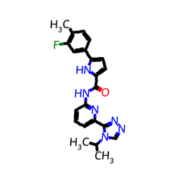 Cc1ccc(-c2ccc(C(=O)Nc3cccc(-c4nncn4C(C)C)n3)[nH]2)cc1F